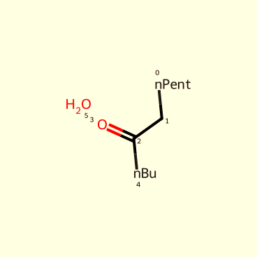 CCCCCCC(=O)CCCC.O